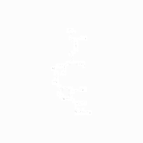 C=C/C(=C\C=C(/C)c1cnc(Nc2cnc(C(=O)N(C)O)c(O)c2)o1)C(F)(F)F